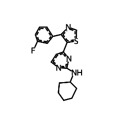 Fc1cccc(-c2ncsc2-c2ccnc(NC3CCCCC3)n2)c1